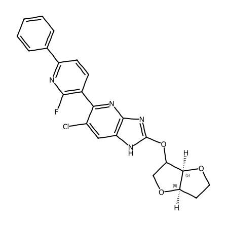 Fc1nc(-c2ccccc2)ccc1-c1nc2nc(OC3CO[C@@H]4CCO[C@H]34)[nH]c2cc1Cl